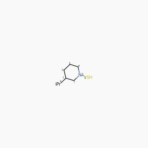 CC(C)C1CCCN(S)C1